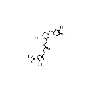 Cc1nc(SCC(=O)NCC2CN(Cc3ccc(Cl)c(Cl)c3)CCO2)sc1C(=O)O.Cl